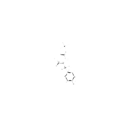 CC(C)(C)OC(=O)NC(C(=O)O)C(C)(C)c1ccc(Cl)cc1